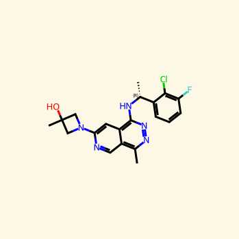 Cc1nnc(N[C@H](C)c2cccc(F)c2Cl)c2cc(N3CC(C)(O)C3)ncc12